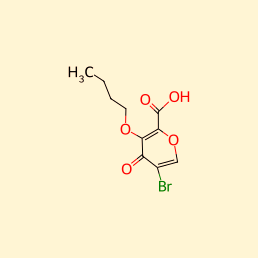 CCCCOc1c(C(=O)O)occ(Br)c1=O